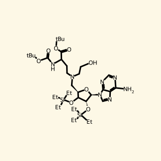 CC[Si](CC)(CC)OC1[C@@H](O[Si](CC)(CC)CC)[C@H](n2cnc3c(N)ncnc32)O[C@@H]1CN(CCO)CCC(NC(=O)OC(C)(C)C)C(=O)OC(C)(C)C